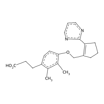 Cc1c(CCC(=O)O)ccc(OCC2=C(c3ncccn3)CCC2)c1C